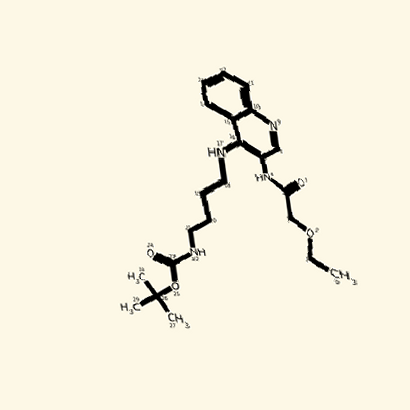 CCOCC(=O)Nc1cnc2ccccc2c1NCCCCNC(=O)OC(C)(C)C